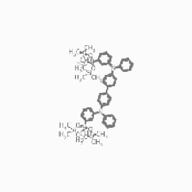 C[Si](C)(C)O[Si](C)(O[Si](C)(C)C)c1cccc(N(c2ccccc2)c2ccc(-c3ccc(N(c4ccccc4)c4cccc([Si](C)(O[Si](C)(C)C)O[Si](C)(C)C)c4)cc3)cc2)c1